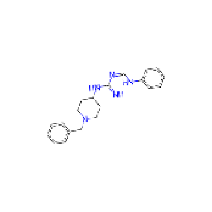 N=C(/N=C\Nc1ccccc1)NC1CCN(Cc2ccccc2)CC1